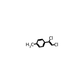 Cc1ccc(C(Cl)=CCl)cc1